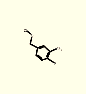 Fc1ccc(COCl)cc1C(F)(F)F